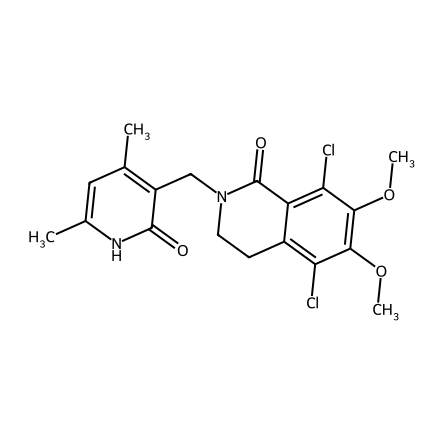 COc1c(Cl)c2c(c(Cl)c1OC)C(=O)N(Cc1c(C)cc(C)[nH]c1=O)CC2